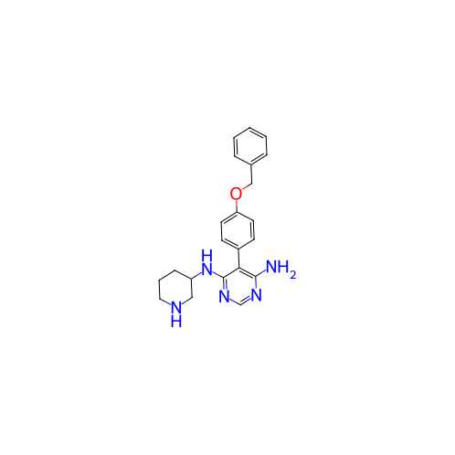 Nc1ncnc(NC2CCCNC2)c1-c1ccc(OCc2ccccc2)cc1